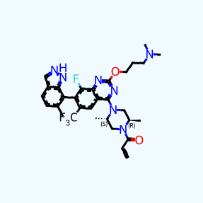 C=CC(=O)N1C[C@H](C)N(c2nc(OCCCN(C)C)nc3c(F)c(-c4c(C)ccc5cn[nH]c45)c(C(F)(F)F)cc23)C[C@H]1C